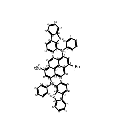 CC(C)(C)c1cc(N(c2ccccc2)c2cccc3c2sc2ccccc23)c2ccc3c(C(C)(C)C)cc(N(c4ccccc4)c4cccc5c4sc4ccccc45)c4ccc1c2c43